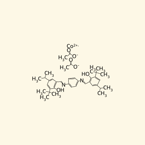 CC(=O)[O-].CC(=O)[O-].CC(C)c1cc(C=Nc2ccc(N=Cc3cc(C(C)C)cc(C(C)(C)C)c3O)cc2)c(O)c(C(C)(C)C)c1.[Co+2]